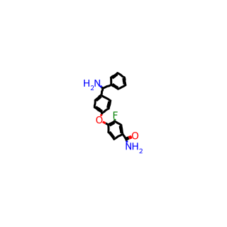 NC(=O)c1ccc(Oc2ccc(C(N)c3ccccc3)cc2)c(F)c1